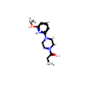 CCC(=O)N1CCN(c2cccc(OC)n2)CC1